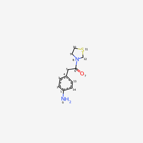 Nc1ccc(CC(=O)N2CCSC2)cc1